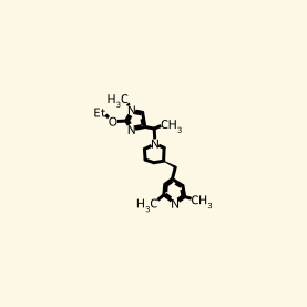 CCOc1nc(C(C)N2CCC[C@H](Cc3cc(C)nc(C)c3)C2)cn1C